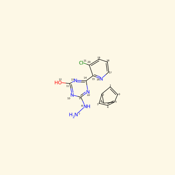 C1=CC2=CC=C1C2.NNc1nc(O)nc(-c2ncccc2Cl)n1